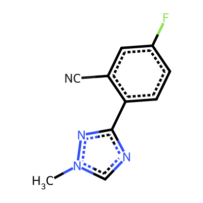 Cn1cnc(-c2ccc(F)cc2C#N)n1